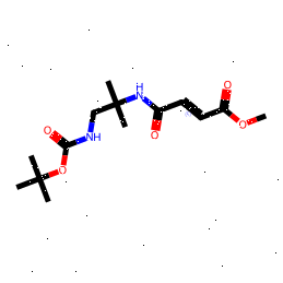 COC(=O)/C=C/C(=O)NC(C)(C)CNC(=O)OC(C)(C)C